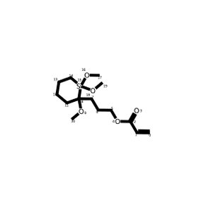 C=CC(=O)OCCCC1(OC)CCCC[Si]1(OC)OC